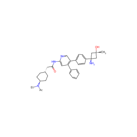 CCN(C(C)=O)[C@H]1CC[C@H](CC(=O)Nc2cc(-c3ccccc3)c(-c3ccc([C@]4(N)C[C@](C)(O)C4)cc3)cn2)CC1